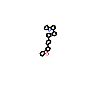 c1ccc(-c2cccc3c4ccccc4n(-c4ccc(-c5ccc(-c6ccc7oc8ccccc8c7c6)cc5)cc4)c23)cc1